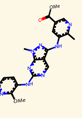 COC(=O)c1cnc(C)c(Nc2nn(C)c3nc(Nc4cccnc4OC)ncc23)c1